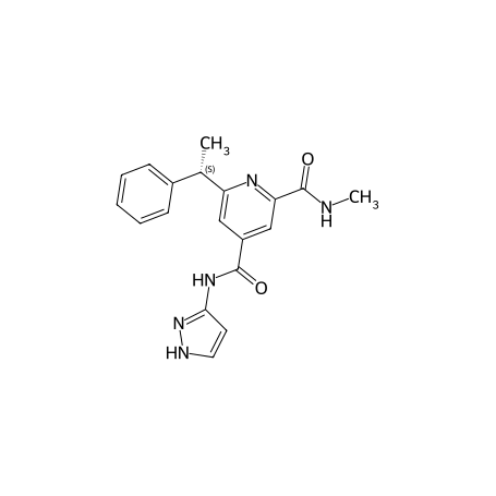 CNC(=O)c1cc(C(=O)Nc2cc[nH]n2)cc([C@@H](C)c2ccccc2)n1